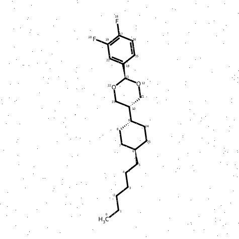 CCCCCC[C@H]1CC[C@H]([C@H]2CO[C@H](c3ccc(F)c(F)c3)OC2)CC1